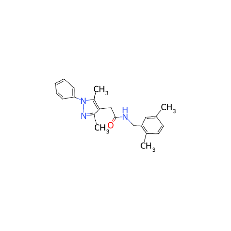 Cc1ccc(C)c(CNC(=O)Cc2c(C)nn(-c3ccccc3)c2C)c1